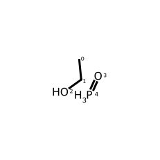 CCO.O=[PH3]